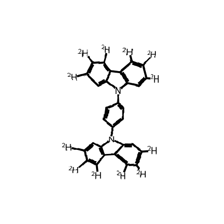 [2H]c1cc2c(c([2H])c1[2H])c1c([2H])c([2H])c([2H])cc1n2-c1ccc(-n2c3cc([2H])c([2H])c([2H])c3c3c([2H])c([2H])c([2H])cc32)cc1